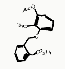 CC(=O)Oc1cccc(OCc2ccccc2C(=O)O)c1C=O